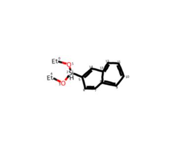 CCO[SiH](OCC)c1ccc2ccccc2c1